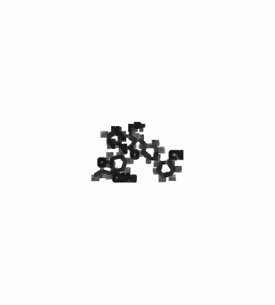 CCCc1c(Cc2ccc(-c3ccccc3C#N)cc2)c(=O)n([C@H]2CC[C@@](CC(C)O)(OC)CC2)c2ncnn12